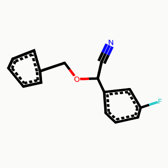 N#CC(OCc1ccccc1)c1cccc(F)c1